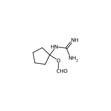 N=C(N)NC1(OC=O)CCCC1